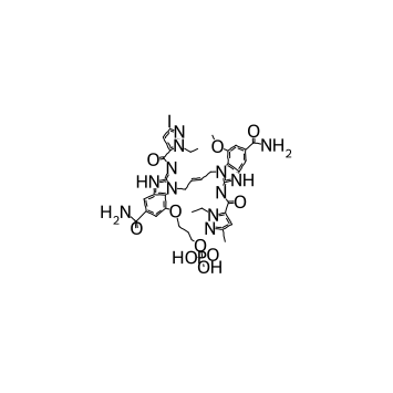 CCn1nc(C)cc1C(=O)/N=c1\[nH]c2cc(C(N)=O)cc(OC)c2n1C/C=C/Cn1/c(=N/C(=O)c2cc(I)nn2CC)[nH]c2cc(C(N)=O)cc(OCCCOP(=O)(O)O)c21